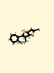 Cc1cc2sc(-c3ccccc3C(C)C)c(C)c2s1